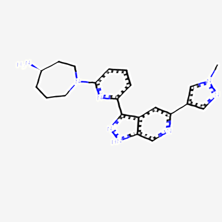 Cn1cc(-c2cc3c(-c4cccc(N5CCC[C@@H](N)CC5)n4)n[nH]c3cn2)cn1